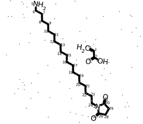 C=CC(=O)O.NCCCCCCCCCCCCCCCCCCCN1C(=O)CCC1=O